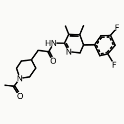 CC(=O)N1CCC(CC(=O)NC2=NCC(c3cc(F)cc(F)c3)C(C)=C2C)CC1